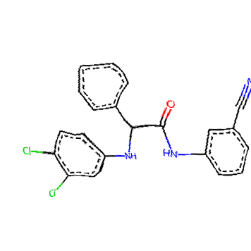 N#Cc1cccc(NC(=O)C(Nc2ccc(Cl)c(Cl)c2)c2ccccc2)c1